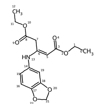 CCOC(=O)C=C(CC(=O)OCC)Nc1ccc2c(c1)OCO2